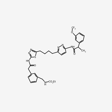 CCOC(=O)NCc1cccc(CC(=O)Nc2nnc(CCCCc3ccc(NC(=O)C(C)c4cccc(OC(F)(F)F)c4)nn3)s2)c1